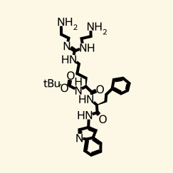 CC(C)(C)OC(=O)N[C@@H](CCCN/C(=N/CCN)NCCN)C(=O)N[C@@H](CCc1ccccc1)C(=O)Nc1cnc2ccccc2c1